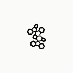 c1ccc2c(c1)-c1ccccc1C21c2ccccc2N2c3ccccc3C3(c4ccccc4-c4ccccc43)c3cccc1c32